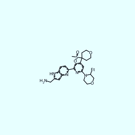 CCC1COCCN1c1cc(C2(S(C)(=O)=O)CCOCC2)cc(-c2ccc3[nH]c(CN)cc3n2)n1